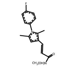 Cc1cc(C=CC(=O)N(C)O)c(C)n1-c1ccc(F)cc1